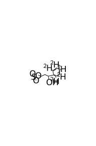 [2H]c1c([2H])c([2H])c([C@@H](O)CCOS(C)(=O)=O)c([2H])c1[2H]